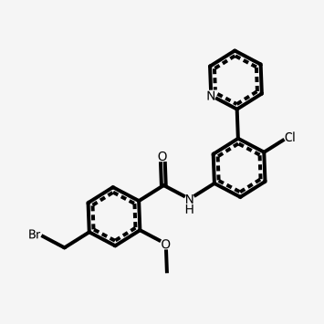 COc1cc(CBr)ccc1C(=O)Nc1ccc(Cl)c(-c2ccccn2)c1